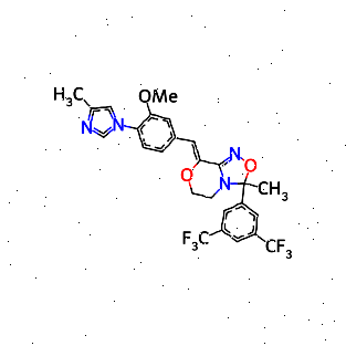 COc1cc(/C=C2\OCCN3C2=NOC3(C)c2cc(C(F)(F)F)cc(C(F)(F)F)c2)ccc1-n1cnc(C)c1